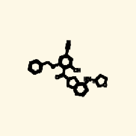 N#Cc1cc(O)c(C(=O)N2Cc3cccc(N[C@@H]4CCOC4)c3C2)c(OCc2ccccc2)c1